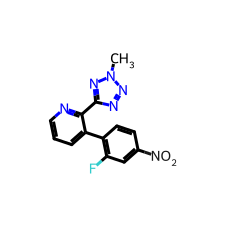 Cn1nnc(-c2ncccc2-c2ccc([N+](=O)[O-])cc2F)n1